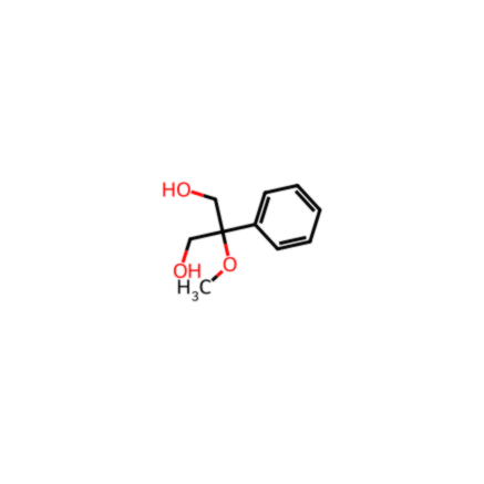 COC(CO)(CO)c1ccccc1